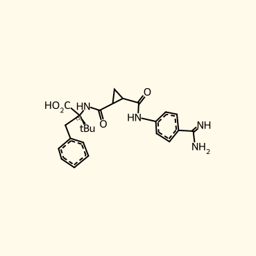 CC(C)(C)[C@](Cc1ccccc1)(NC(=O)C1CC1C(=O)Nc1ccc(C(=N)N)cc1)C(=O)O